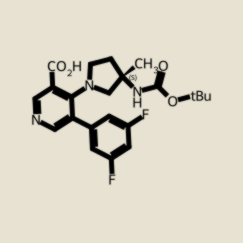 CC(C)(C)OC(=O)N[C@@]1(C)CCN(c2c(C(=O)O)cncc2-c2cc(F)cc(F)c2)C1